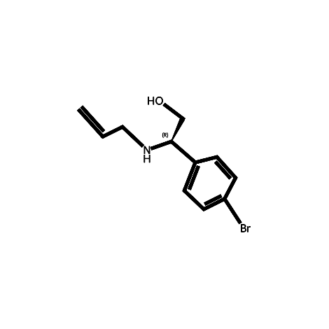 C=CCN[C@@H](CO)c1ccc(Br)cc1